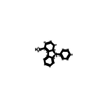 NC1=C2c3ccccc3N(c3ccccc3)C2CC=C1